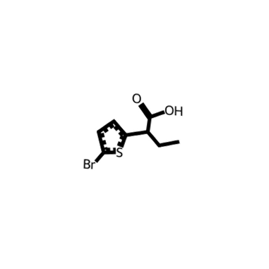 CCC(C(=O)O)c1ccc(Br)s1